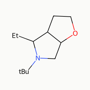 CCC1C2CCOC2CN1C(C)(C)C